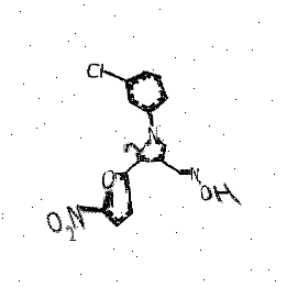 O=[N+]([O-])c1ccc(-c2nn(-c3cccc(Cl)c3)cc2C=NO)o1